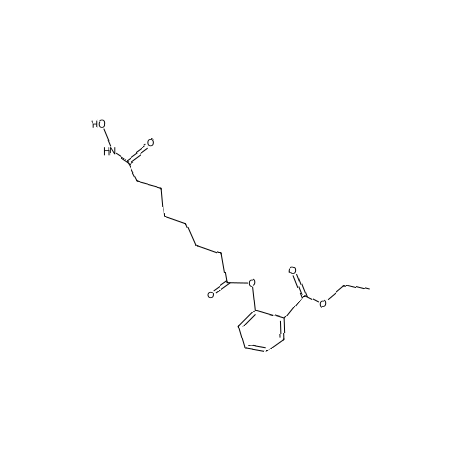 CCOC(=O)c1ccccc1OC(=O)CCCCCCC(=O)NO